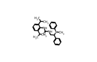 CC(C)c1cccc(C(C)C)c1NC(=O)NCC(c1ccccc1)N(C)c1ccccc1